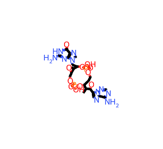 CC1C(c2cnc3c(N)ncnn23)OC2COP(=O)(O)OC3C(C)C(COP(=O)(O)OC21)OC3n1cnc2c(=O)[nH]c(N)nc21